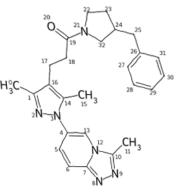 Cc1nn(-c2ccc3nnc(C)n3c2)c(C)c1CCC(=O)N1CCC(Cc2ccccc2)C1